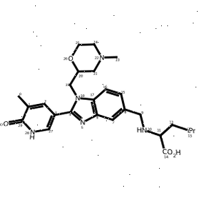 Cc1cc(-c2nc3cc(CNC(CC(C)C)C(=O)O)ccc3n2CC2CN(C)CCO2)c[nH]c1=O